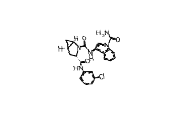 NC(=O)n1cc(NC(=O)N2[C@@H]3C[C@@H]3C[C@H]2C(=O)Nc2cccc(Cl)c2)c2ccccc21